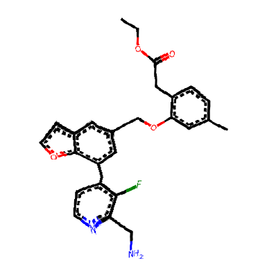 CCOC(=O)Cc1ccc(C)cc1OCc1cc(-c2ccnc(CN)c2F)c2occc2c1